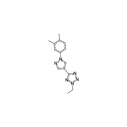 CCn1nnc(-c2cnn(-c3ccc(C)c(C)c3)c2)n1